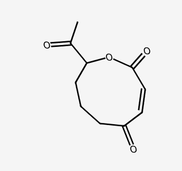 CC(=O)C1CCCC(=O)C=CC(=O)O1